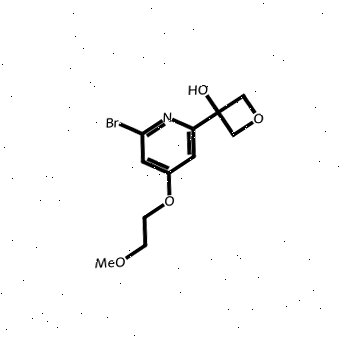 COCCOc1cc(Br)nc(C2(O)COC2)c1